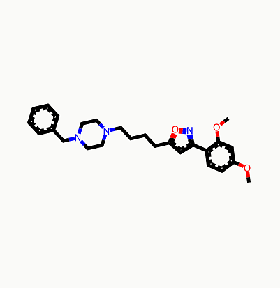 COc1ccc(-c2cc(CCCCN3CCN(Cc4ccccc4)CC3)on2)c(OC)c1